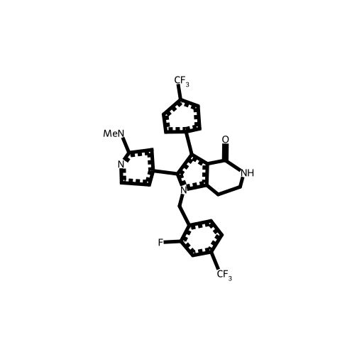 CNc1cc(-c2c(-c3ccc(C(F)(F)F)cc3)c3c(n2Cc2ccc(C(F)(F)F)cc2F)CCNC3=O)ccn1